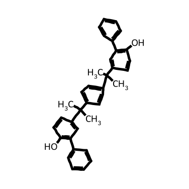 CC(C)(c1ccc(C(C)(C)c2ccc(O)c(-c3ccccc3)c2)cc1)c1ccc(O)c(-c2ccccc2)c1